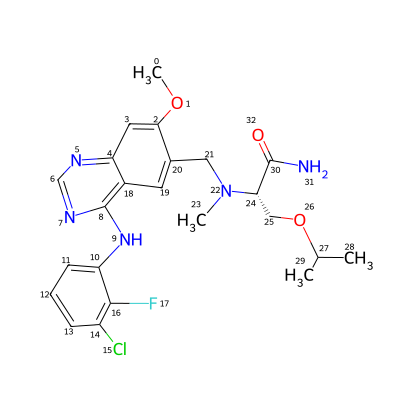 COc1cc2ncnc(Nc3cccc(Cl)c3F)c2cc1CN(C)[C@@H](COC(C)C)C(N)=O